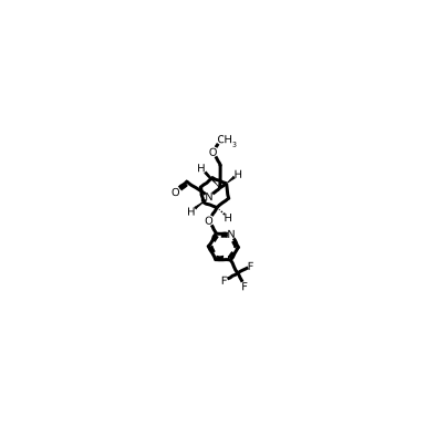 COC[C@@H]1[C@@H]2CC[C@@H]([C@H](Oc3ccc(C(F)(F)F)cn3)C2)N1C=O